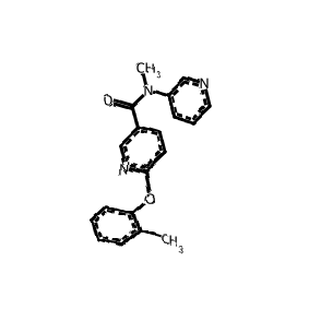 Cc1ccccc1Oc1ccc(C(=O)N(C)c2cccnc2)cn1